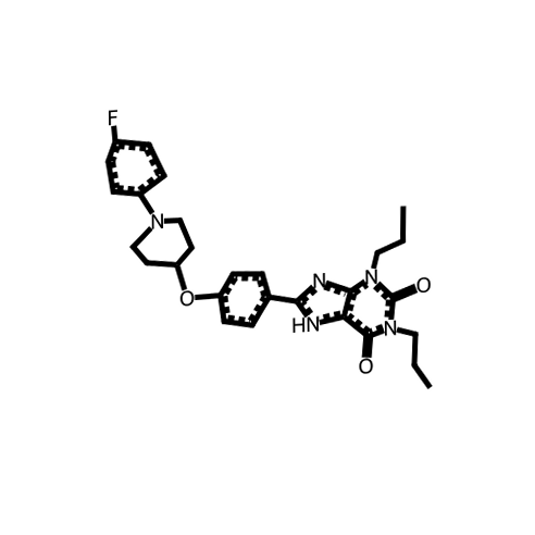 CCCn1c(=O)c2[nH]c(-c3ccc(OC4CCN(c5ccc(F)cc5)CC4)cc3)nc2n(CCC)c1=O